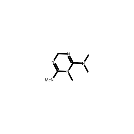 CNC1=NCN=C(N(C)C)N1C